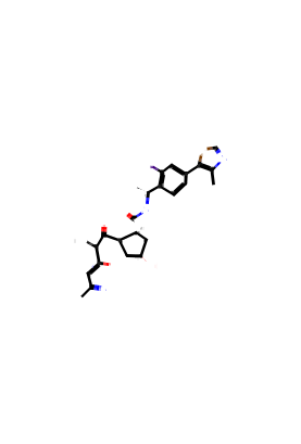 CC(=N)/C=C(\O)C(C(=O)C1C[C@H](O)C[C@H]1C(=O)N[C@@H](C)c1ccc(-c2scnc2C)cc1I)C(C)C